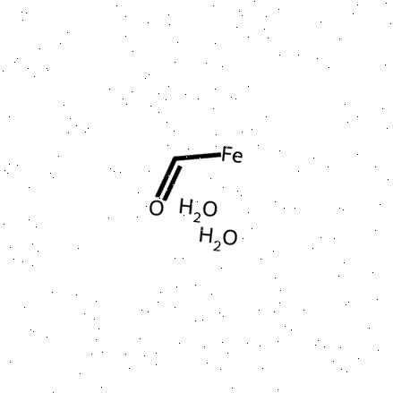 O.O.O=[CH][Fe]